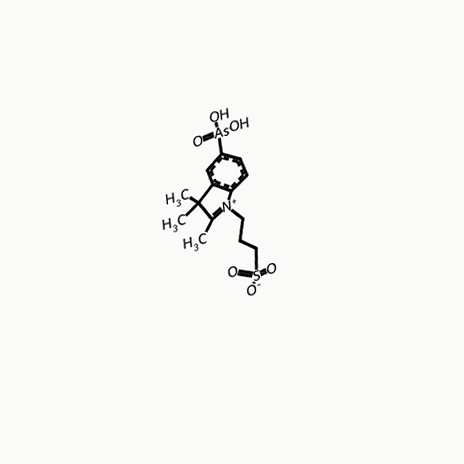 CC1=[N+](CCCS(=O)(=O)[O-])c2ccc([As](=O)(O)O)cc2C1(C)C